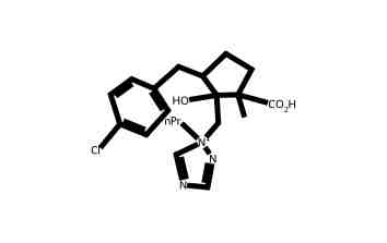 CCC[N+]1(CC2(O)C(Cc3ccc(Cl)cc3)CCC2(C)C(=O)O)C=NC=N1